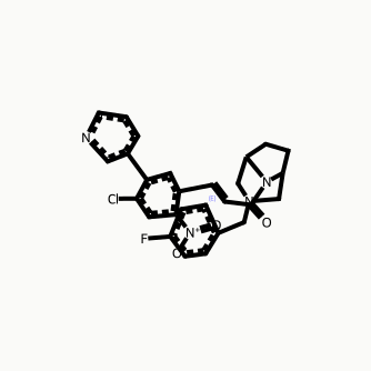 O=C(/C=C/c1cc(-c2cccnc2)c(Cl)cc1[N+](=O)[O-])N1C2CCC1CN(Cc1ccc(F)cc1)C2